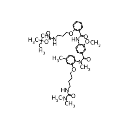 COc1cc(C(=O)N(C)c2ccc(C)cc2OCCCCNC(=O)N(C)C)ccc1NC(=O)c1ccccc1OCCCNC(=O)OC(C)(C)C